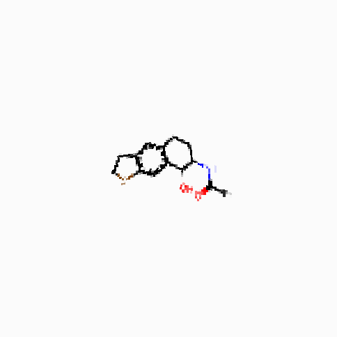 CCC(=O)N[C@@H]1CCc2cc3c(cc2[C@H]1O)SCC3